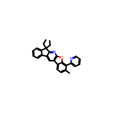 CCC1(CC)c2ccccc2-c2cc3c(nc21)oc1c(-c2ccccn2)c(C)ccc13